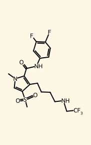 Cn1cc(S(C)(=O)=O)c(CCCCNCC(F)(F)F)c1C(=O)Nc1ccc(F)c(F)c1